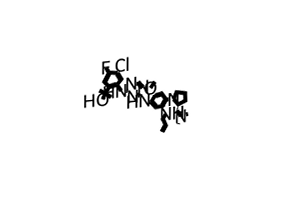 C=CCNc1cc(Nc2ncnc(Nc3cc(Cl)c(F)cc3C(C)(C)O)n2)c(OC)cc1N1CCC[C@@H]1CN(C)C